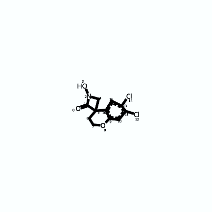 O=C1N(O)CC12CCOc1cc(Cl)c(Cl)cc12